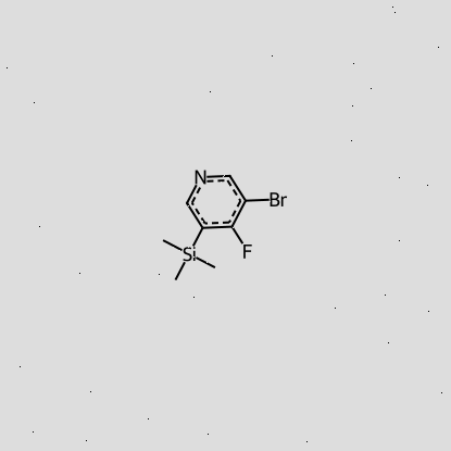 C[Si](C)(C)c1cncc(Br)c1F